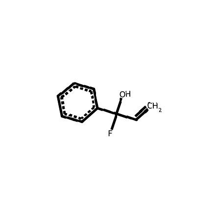 C=CC(O)(F)c1ccccc1